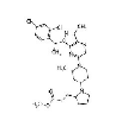 COC(=O)CCC1CCCN1C1CCN(c2cnc3c(C)nn([C@H](C)c4ccc(Cl)cc4Cl)c3n2)[C@@H](C)C1